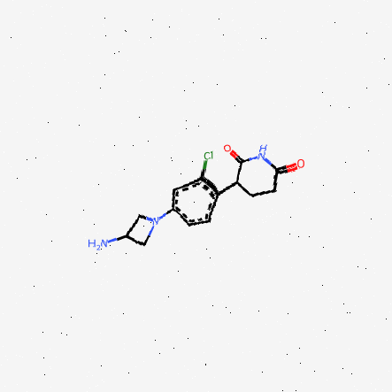 NC1CN(c2ccc(C3CCC(=O)NC3=O)c(Cl)c2)C1